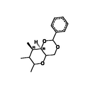 CC1OC2COC(c3ccccc3)O[C@@H]2[C@H](C)C1C